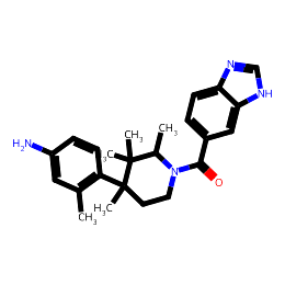 Cc1cc(N)ccc1C1(C)CCN(C(=O)c2ccc3nc[nH]c3c2)C(C)C1(C)C